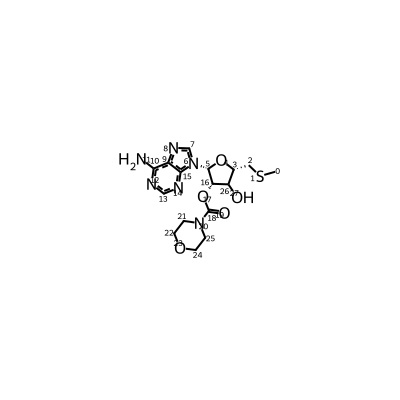 CSC[C@H]1O[C@@H](n2cnc3c(N)ncnc32)[C@@H](OC(=O)N2CCOCC2)C1O